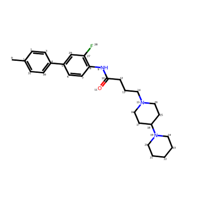 Cc1ccc(-c2ccc(NC(=O)CCCN3CCC(N4CCCCC4)CC3)c(F)c2)cc1